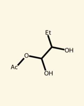 CCC(O)C(O)OC(C)=O